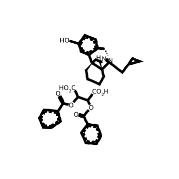 O=C(OC(C(=O)O)C(OC(=O)c1ccccc1)C(=O)O)c1ccccc1.Oc1ccc2c(c1)[C@@]13CCCC[C@H]1[N@@](C2)N(CC1CC1)CC3